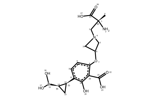 C[C@@](N)(CN1CC(Oc2ccc([C@H]3C[C@H]3B(O)O)c(O)c2C(=O)O)C1)C(=O)O